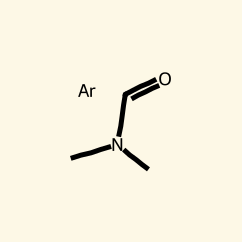 CN(C)C=O.[Ar]